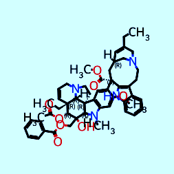 CCC1=C[C@@H]2CN(CCc3c([nH]c4ccccc34)[C@@](C(=O)OC)(c3cc4c(cc3OC)N(C)[C@H]3C(O)(COC(=O)c5ccccc5)[C@H](OC(C)=O)[C@]5(CC)C=CCN6CC[C@]43[C@@H]65)C2)C1